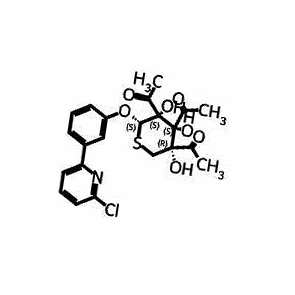 CC(=O)[C@]1(O)[C@@](O)(C(C)=O)CS[C@H](Oc2cccc(-c3cccc(Cl)n3)c2)[C@@]1(O)C(C)=O